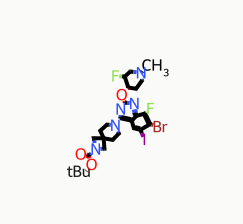 CN1CCC(Oc2nc(N3CCC4(CC3)CN(C(=O)OC(C)(C)C)C4)c3cc(I)c(Br)c(F)c3n2)C(F)C1